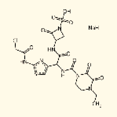 CCN1CCN(C(=O)NC(C(=O)NC2CN(S(=O)(=O)O)C2=O)c2csc(NC(=O)CCl)n2)C(=O)C1=O.[NaH]